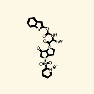 CCCC(NC(=O)Oc1cc2ccccc2s1)C(=O)N1CCC2C1C(=O)CN2S(=O)(=O)c1cccc[n+]1[O-]